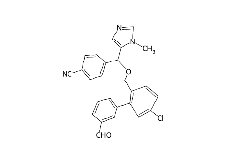 Cn1cncc1C(OCc1ccc(Cl)cc1-c1cccc(C=O)c1)c1ccc(C#N)cc1